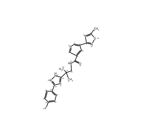 Cc1nc(-c2cncc(C(=O)NCC(C)(C)c3nc(-c4ccc(F)cc4)n[nH]3)c2)no1